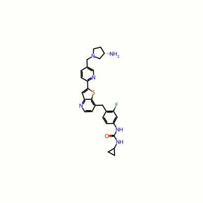 N[C@H]1CCN(Cc2ccc(-c3cc4nccc(Cc5ccc(NC(=O)NC6CC6)cc5F)c4s3)nc2)C1